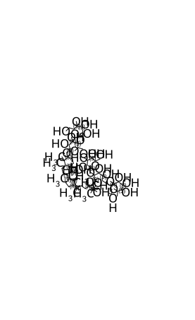 C[C@H](CC[C@@H](O[C@@H]1OC(CO[C@@H]2OC(CO)[C@@H](O)[C@H](O)C2O)[C@@H](O)C(O)C1O[C@@H]1OC(CO)[C@@H](O)C(O)C1O)C(C)(C)O)[C@H]1CC[C@@]2(C)[C@@H]3CC=C4[C@@H](CC[C@H](O[C@@H]5OC(CO)[C@@H](O[C@@H]6OC(CO)[C@@H](O)[C@H](O)C6O)[C@H](O)C5O)C4(C)C)[C@]3(C)[C@H](O)C[C@]12C